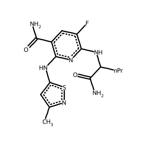 CCCC(Nc1nc(Nc2cc(C)ns2)c(C(N)=O)cc1F)C(N)=O